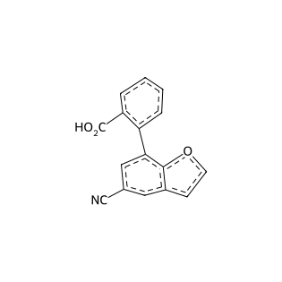 N#Cc1cc(-c2ccccc2C(=O)O)c2occc2c1